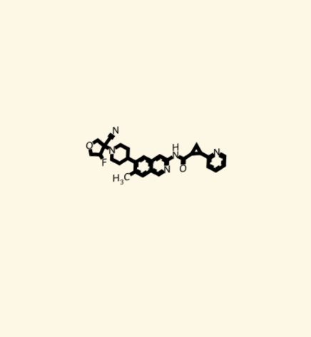 Cc1cc2cnc(NC(=O)C3CC3c3ccccn3)cc2cc1C1CCN(C2(C#N)COCC2F)CC1